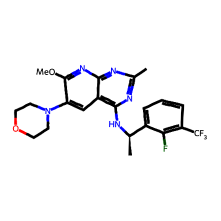 COc1nc2nc(C)nc(N[C@H](C)c3cccc(C(F)(F)F)c3F)c2cc1N1CCOCC1